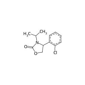 CC(C)N1C(=O)OCC1c1ccccc1Cl